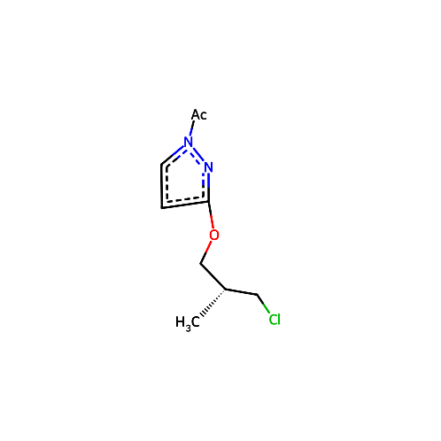 CC(=O)n1ccc(OC[C@@H](C)CCl)n1